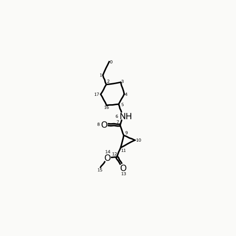 CCC1CCC(NC(=O)C2CC2C(=O)OC)CC1